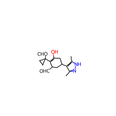 Cc1n[nH]c(C)c1C1CC(O)=C(C2(C=O)CC2)C(C=O)C1